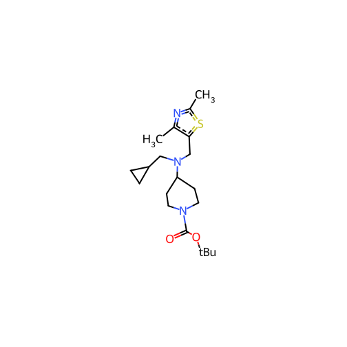 Cc1nc(C)c(CN(CC2CC2)C2CCN(C(=O)OC(C)(C)C)CC2)s1